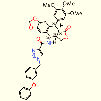 COc1cc([C@@H]2c3cc4c(cc3[C@@H](NC(=O)c3cn(Cc5cccc(Oc6ccccc6)c5)nn3)[C@H]3COC(=O)[C@H]23)OCO4)cc(OC)c1OC